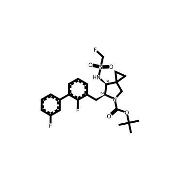 CC(C)(C)OC(=O)N1CC2(CC2)[C@H](NS(=O)(=O)CF)[C@@H]1Cc1cccc(-c2cccc(F)c2)c1F